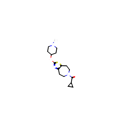 CC(C)N1CCC(Oc2nc3c(s2)CCN(C(=O)C2CC2)CC3)CC1